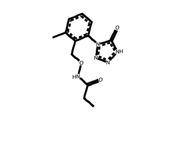 CCC(=O)NOCc1c(C)cccc1-n1nn[nH]c1=O